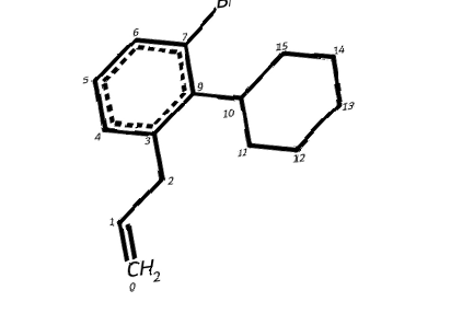 C=CCc1cccc(Br)c1C1CCCCC1